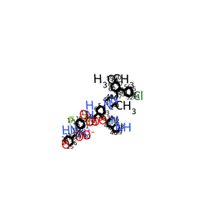 C[C@H]1CN(c2ccc(C(=O)NS(=O)(=O)c3cc(F)c(NCC4CCOCC4)c([N+](=O)[O-])c3)c(Oc3cnc4[nH]ccc4c3)c2)CCN1CC1=C(c2ccc(Cl)cc2)CC(C)(C)CC1